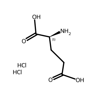 Cl.Cl.N[C@@H](CCC(=O)O)C(=O)O